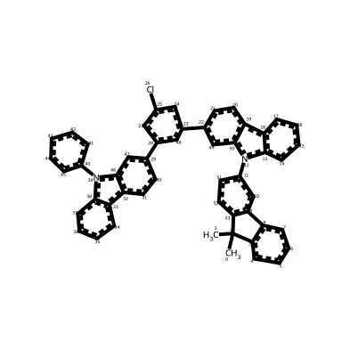 CC1(C)c2ccccc2-c2cc(-n3c4ccccc4c4ccc(-c5cc(Cl)cc(-c6ccc7c8ccccc8n(-c8ccccc8)c7c6)c5)cc43)ccc21